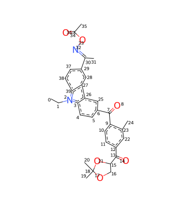 CCn1c2ccc(C(=O)c3ccc(C(=O)C4COC(C)(C)O4)cc3C)cc2c2cc(/C(C)=N/OC(C)=O)ccc21